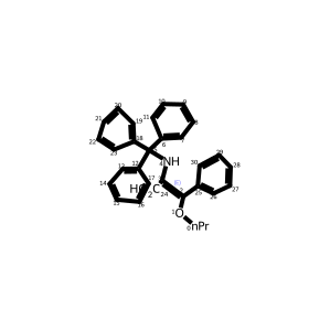 CCCO/C(=C(/NC(c1ccccc1)(c1ccccc1)c1ccccc1)C(=O)O)c1ccccc1